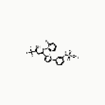 CS(=O)(=O)Nc1cccc(-c2ccc(/C(=C/C(=N)C(F)(F)F)Nc3ccccc3F)s2)c1